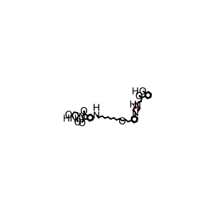 O=C1CCC(N2C(=O)c3ccc(NCCCCCCCCOCCc4cccc(N5C[C@H]6CC5CN6/C=C/C(=O)c5ccccc5O)c4)cc3C2=O)C(=O)N1